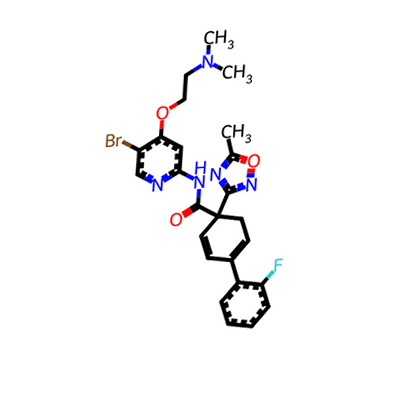 Cc1nc(C2(C(=O)Nc3cc(OCCN(C)C)c(Br)cn3)C=CC(c3ccccc3F)=CC2)no1